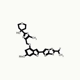 COc1cc(OCc2nc(C3(O)CCOCC3)sc2C)c2cc(-c3cn4nc(C(C)F)sc4n3)oc2c1